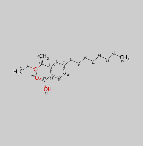 C=C(OCC)c1cc(CCCCCCCC)ccc1C(=O)O